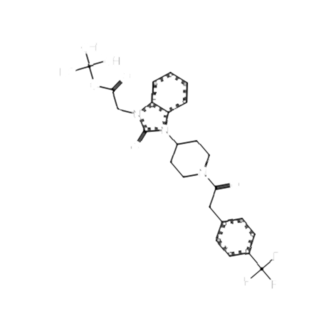 CC(C)(C)OC(=O)Cn1c(=O)n(C2CCN(C(=O)Cc3ccc(C(F)(F)F)cc3)CC2)c2ccccc21